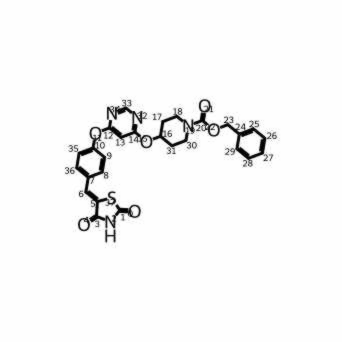 O=C1NC(=O)/C(=C/c2ccc(Oc3cc(OC4CCN(C(=O)OCc5ccccc5)CC4)ncn3)cc2)S1